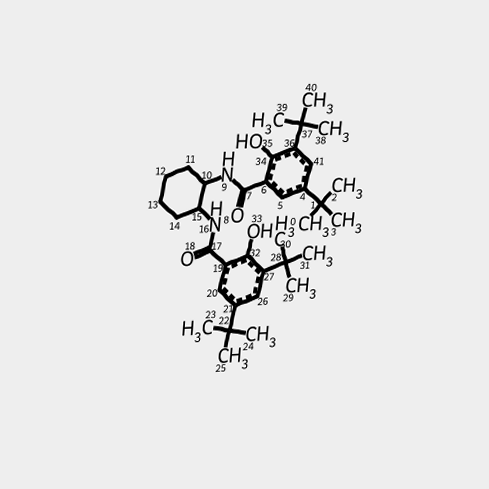 CC(C)(C)c1cc(C(=O)NC2CCCCC2NC(=O)c2cc(C(C)(C)C)cc(C(C)(C)C)c2O)c(O)c(C(C)(C)C)c1